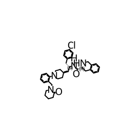 O=C(N[C@H](C=C1CCN(c2ccccc2CN2CCCCC2=O)CC1)Cc1ccc(Cl)cc1)[C@H]1Cc2ccccc2CN1